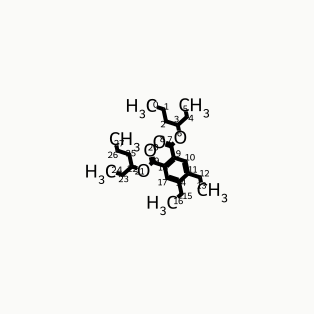 CCCC(CC)OC(=O)c1cc(CC)c(CC)cc1C(=O)OC(CC)CCC